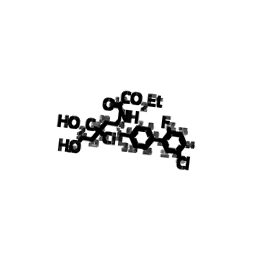 CCOC(=O)C(=O)N[C@H](Cc1ccc(-c2cc(Cl)ccc2F)cc1)CC(C)(CCO)C(=O)O